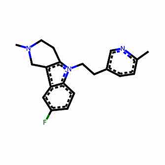 Cc1ccc(CCn2c3c(c4cc(F)ccc42)CN(C)CC3)cn1